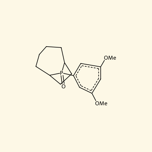 COc1cc(OC)cc(P2(=O)C3CCCCC2CC3)c1